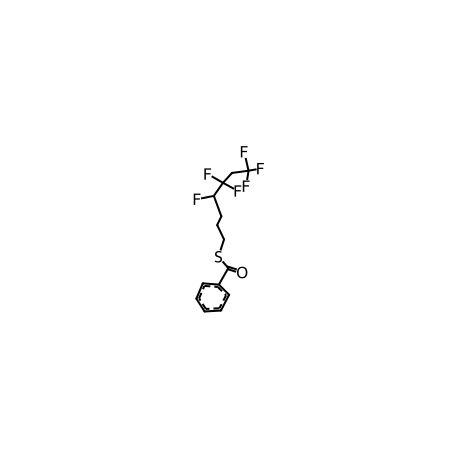 O=C(SCCCC(F)C(F)(F)CC(F)(F)F)c1ccccc1